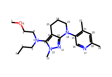 CCCN(CCOC)c1c2c(nn1C)N(c1cnc(C)cc1C)CCC2